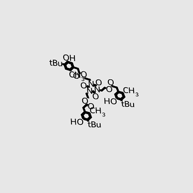 Cc1cc(C(C)(C)C)c(O)cc1CC(=O)OCCn1c(=O)n(CCOC(=O)Cc2cc(O)c(C(C)(C)C)cc2C)c(=O)n(CCOC(=O)Cc2cc(O)c(C(C)(C)C)cc2C)c1=O